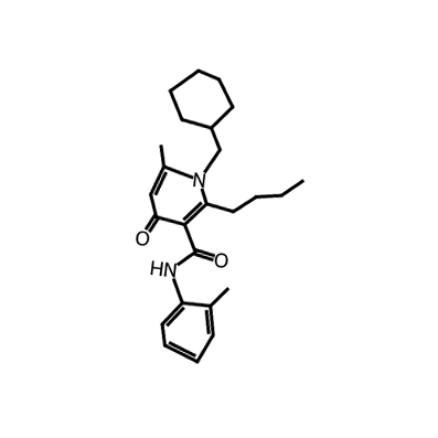 CCCCc1c(C(=O)Nc2ccccc2C)c(=O)cc(C)n1CC1CCCCC1